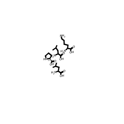 CC(C)CC(N)C(=O)O.CC(C)CC(N)C(=O)O.NCCCCC(N)C(=O)O.O=C(O)[C@@H]1CCCN1